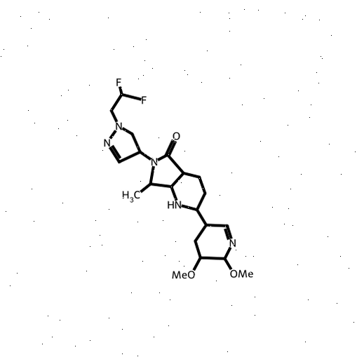 COC1CC(C2CCC3C(=O)N(C4C=NN(CC(F)F)C4)C(C)C3N2)C=NC1OC